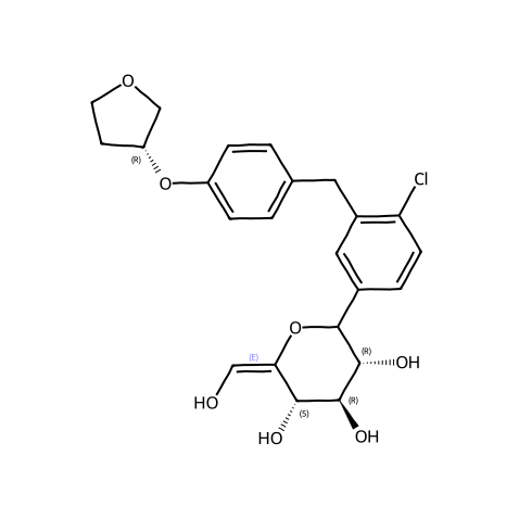 O/C=C1/OC(c2ccc(Cl)c(Cc3ccc(O[C@@H]4CCOC4)cc3)c2)[C@H](O)[C@@H](O)[C@@H]1O